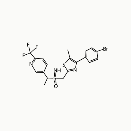 Cc1sc(CS(=N)(=O)C(C)c2ccc(C(F)(F)F)nc2)nc1-c1ccc(Br)cc1